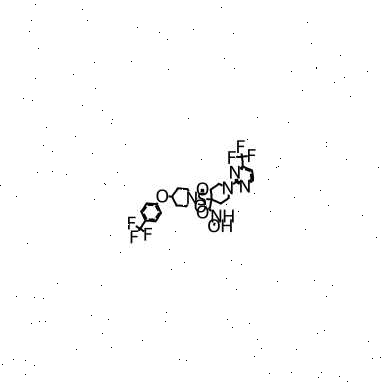 O=C(NO)C1(S(=O)(=O)N2CCC(Oc3ccc(C(F)(F)F)cc3)CC2)CCN(c2nccc(C(F)(F)F)n2)CC1